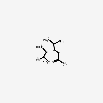 NC(=O)CCC(N)C(=O)O.O=C(O)CC(O)C(=O)O